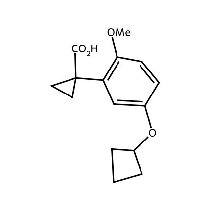 COc1ccc(OC2CCC2)cc1C1(C(=O)O)CC1